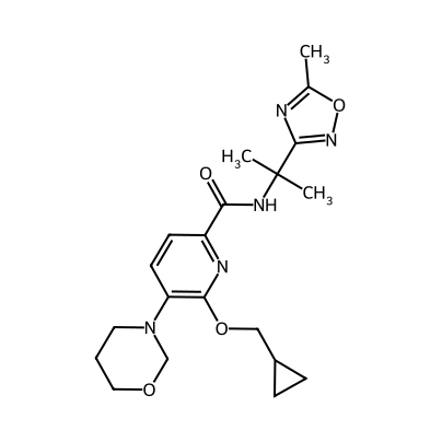 Cc1nc(C(C)(C)NC(=O)c2ccc(N3CCCOC3)c(OCC3CC3)n2)no1